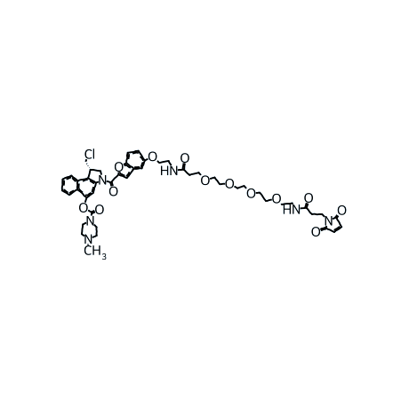 CN1CCN(C(=O)Oc2cc3c(c4ccccc24)[C@H](CCl)CN3C(=O)c2cc3cc(OCCNC(=O)CCOCCOCCOCCOCCNC(=O)CCN4C(=O)C=CC4=O)ccc3o2)CC1